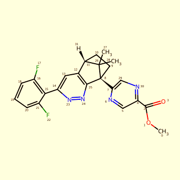 COC(=O)c1cnc([C@@]23CC[C@@H](c4cc(-c5c(F)cccc5F)nnc42)C3(C)C)cn1